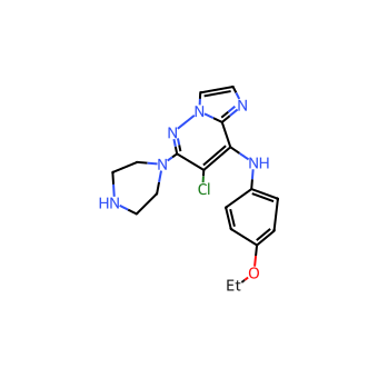 CCOc1ccc(Nc2c(Cl)c(N3CCNCC3)nn3ccnc23)cc1